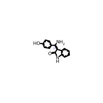 N/C(=C1/C(=O)Nc2ccccc21)c1ccc(O)cc1